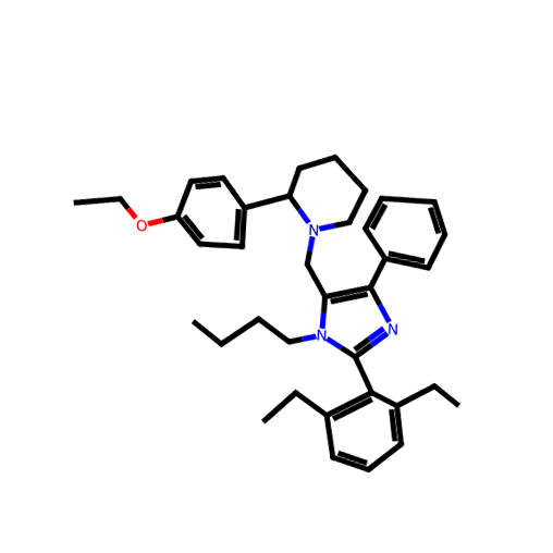 CCCCn1c(-c2c(CC)cccc2CC)nc(-c2ccccc2)c1CN1CCCCC1c1ccc(OCC)cc1